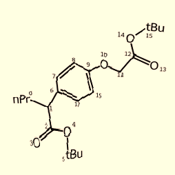 CCCC(C(=O)OC(C)(C)C)c1ccc(OCC(=O)OC(C)(C)C)cc1